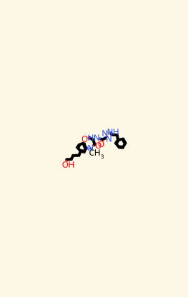 CN1C(=O)[C@H](NC(=O)c2n[nH]c(Cc3ccccc3)n2)COc2ccc(CCCCO)cc21